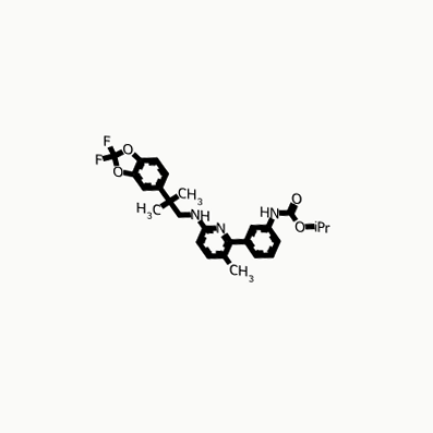 Cc1ccc(NCC(C)(C)c2ccc3c(c2)OC(F)(F)O3)nc1-c1cccc(NC(=O)OC(C)C)c1